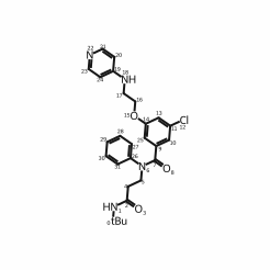 CC(C)(C)NC(=O)CCN(C(=O)c1cc(Cl)cc(OCCNc2ccncc2)c1)c1ccccc1